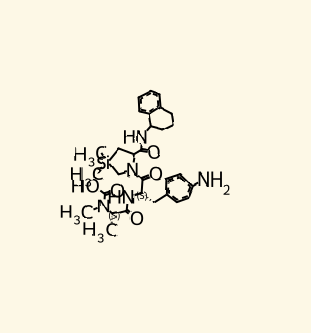 C[C@@H](C(=O)N[C@@H](Cc1ccc(N)cc1)C(=O)N1C[Si](C)(C)CC1C(=O)NC1CCCc2ccccc21)N(C)C(=O)O